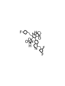 O=C1c2c(nc(CCc3ccc(F)cc3)c(-c3n[nH]c(=O)o3)c2-c2ccc3c(Cc4ccc(F)cc4F)nccc3c2)[C@@H]2CCCN12